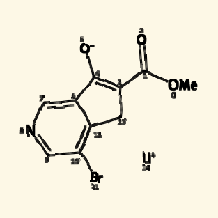 COC(=O)C1=C([O-])c2cncc(Br)c2C1.[Li+]